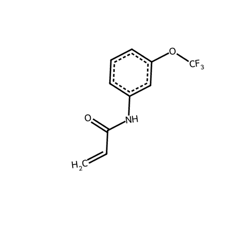 C=CC(=O)Nc1cccc(OC(F)(F)F)c1